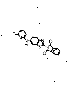 O=C1C2C3C=CC(C3)C2C(=O)N1c1nc2ccc(Nc3cccc(F)n3)cc2s1